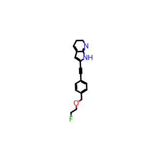 FCCOCc1ccc(C#Cc2cc3c([nH]2)=NCCC=3)cc1